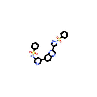 O=S(=O)(Nc1cncc(-c2ccc3ncc(-c4cnn(S(=O)(=O)c5ccccc5)c4)nc3c2)c1)c1ccccc1